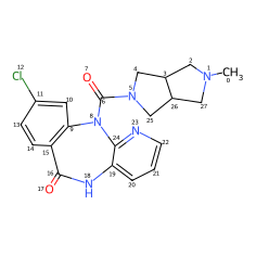 CN1CC2CN(C(=O)N3c4cc(Cl)ccc4C(=O)Nc4cccnc43)CC2C1